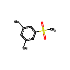 CC(C)(C)c1cc(C(C)(C)C)cc(S(C)(=O)=O)c1